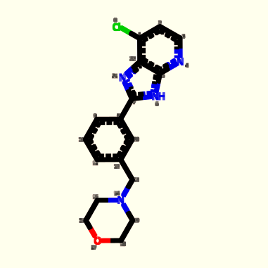 Clc1ccnc2[nH]c(-c3cccc(CN4CCOCC4)c3)nc12